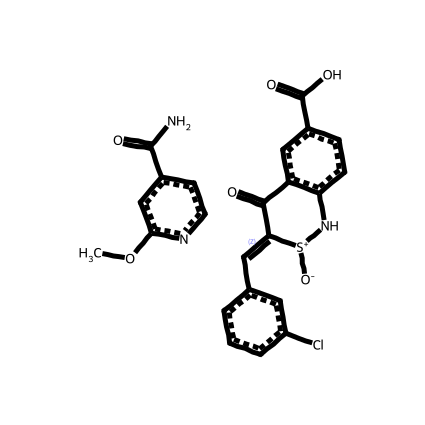 COc1cc(C(N)=O)ccn1.O=C(O)c1ccc2c(c1)C(=O)/C(=C/c1cccc(Cl)c1)[S+]([O-])N2